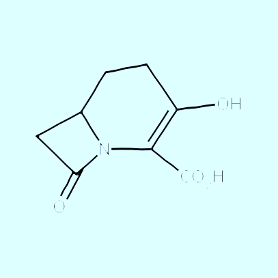 O=C(O)C1=C(O)CCC2CC(=O)N12